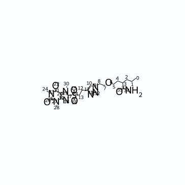 CCCC(CCOCCn1cc(CCS(=O)(=O)c2nc3c(c(=O)n(C)c(=O)n3C)n2C)nn1)C(N)=O